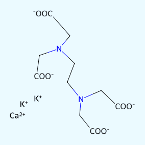 O=C([O-])CN(CCN(CC(=O)[O-])CC(=O)[O-])CC(=O)[O-].[Ca+2].[K+].[K+]